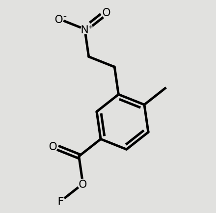 Cc1ccc(C(=O)OF)cc1CC[N+](=O)[O-]